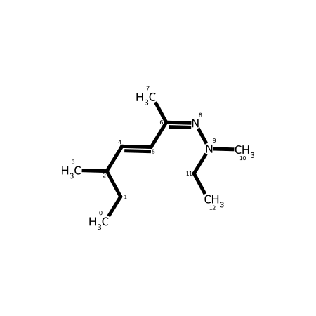 CCC(C)C=C/C(C)=N\N(C)CC